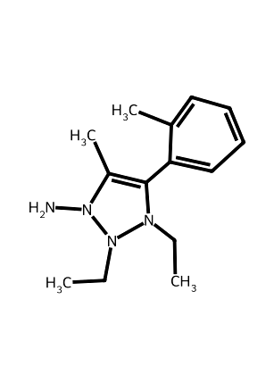 CCN1C(c2ccccc2C)=C(C)N(N)N1CC